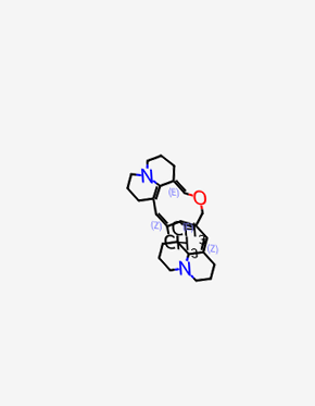 CC1=C\C2=C3C(=C/OCC(/C=C4/CCCN5CCCC(C)C45)=C/1)/CCCN3CCC2